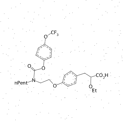 CCCCCN(CCOc1ccc(CC(OCC)C(=O)O)cc1)C(=O)Oc1ccc(OC(F)(F)F)cc1